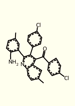 Cc1ccc(N)c(-c2nc3ccc(C)cc3c(C(=O)c3ccc(Cl)cc3)c2-c2ccc(Cl)cc2)c1